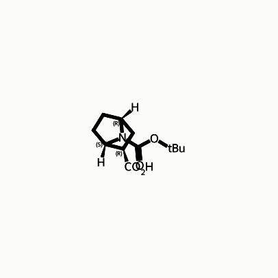 CC(C)(C)OC(=O)N1[C@@H]2CC[C@H]1[C@H](C(=O)O)C2